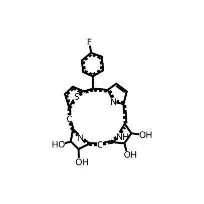 OC1c2cc3[nH]c(cc4nc(c(-c5ccc(F)cc5)c5ccc(cc(n2)C1O)s5)C=C4)C(O)C3O